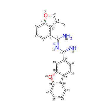 Cc1coc2cccc(/C(N)=N/C(=N)c3ccc4c(c3)oc3ccccc34)c12